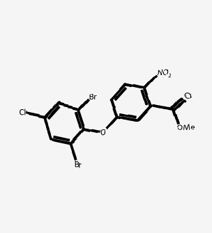 COC(=O)c1cc(Oc2c(Br)cc(Cl)cc2Br)ccc1[N+](=O)[O-]